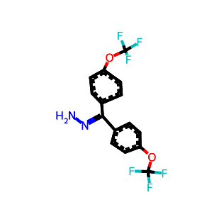 NN=C(c1ccc(OC(F)(F)F)cc1)c1ccc(OC(F)(F)F)cc1